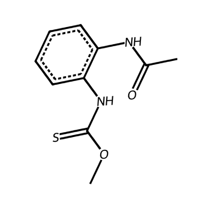 COC(=S)Nc1ccccc1NC(C)=O